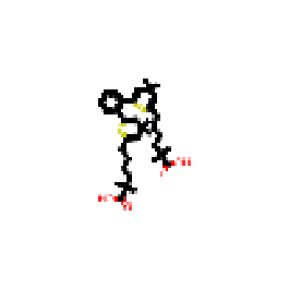 CC1(C)C=C(CCCCC(C)(C)C(=O)O)SC(c2ccccc2C2=CC(C)(C)C=C(CCCCC(C)(C)C(=O)O)S2)=C1